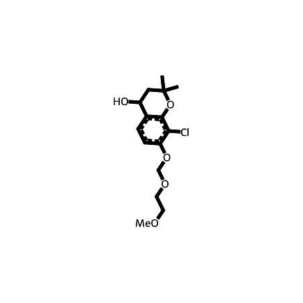 COCCOCOc1ccc2c(c1Cl)OC(C)(C)CC2O